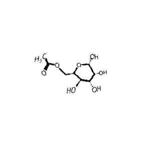 CC(=O)OC[C@H]1O[C@H](O)[C@H](O)[C@H](O)[C@H]1O